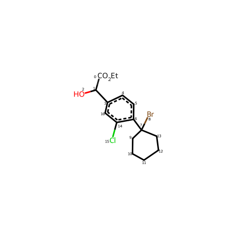 CCOC(=O)C(O)c1ccc(C2(Br)CCCCC2)c(Cl)c1